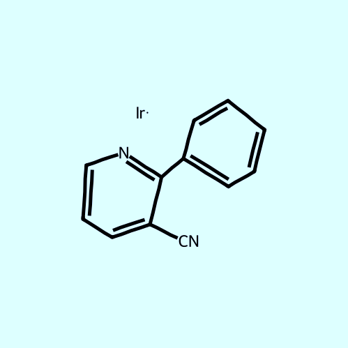 N#Cc1cccnc1-c1ccccc1.[Ir]